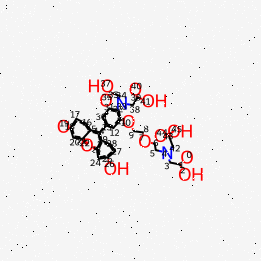 O=C(O)CN(CCOCCOc1cc(-c2c3ccc(=O)cc-3oc3cc(O)ccc23)ccc1N(CC(=O)O)CC(=O)O)CC(=O)O